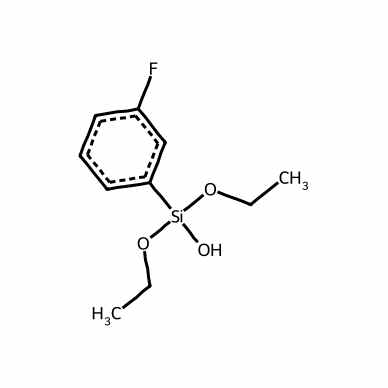 CCO[Si](O)(OCC)c1cccc(F)c1